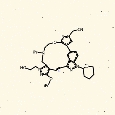 CC(C)Oc1nn(CCO)c2c1/C=C/c1nn(C3CCCCO3)c3ccc(cc13)-c1cn(CC#N)nc1OCCN(C(C)C)C2